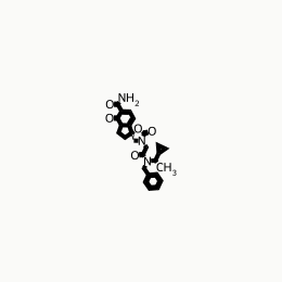 CC(C1CC1)N(Cc1ccccc1)C(=O)CN1C[C@@]2(CCC3C(=O)C(C(N)=O)=CC=C32)OC1=O